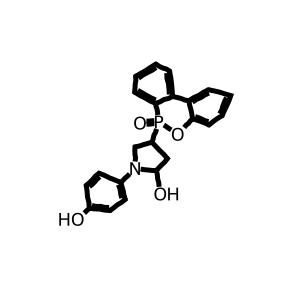 O=P1(C2CC(O)N(c3ccc(O)cc3)C2)Oc2ccccc2-c2ccccc21